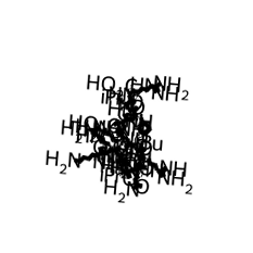 CC[C@H](C)[C@H](NC(=O)[C@H](CCCNC(=N)N)NC(=O)[C@H](CCC(N)=O)NC(=O)[C@@H](NC(=O)[C@@H](NC(=O)[C@H](CCCNC(=N)N)NC(=O)[C@@H](N)CCCCN)[C@@H](C)CC)C(C)C)C(=O)N[C@@H](CCCCN)C(=O)N[C@@H](CC(=O)O)C(=O)N[C@@H](Cc1ccccc1)C(=O)N[C@@H](CC(C)C)C(=O)N[C@@H](CCCNC(=N)N)C(=O)O